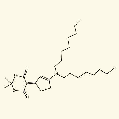 CCCCCCCCN(CCCCCCCC)C1=CC(=C2C(=O)OC(C)(C)OC2=O)CC1